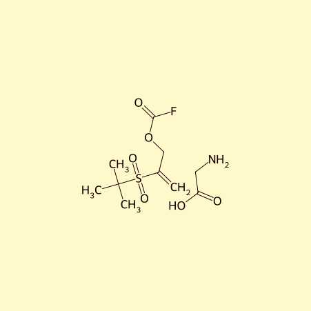 C=C(COC(=O)F)S(=O)(=O)C(C)(C)C.NCC(=O)O